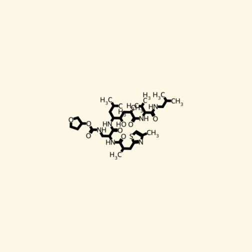 Cc1csc(CC(C)C(=O)NC(CNC(=O)OC2CCOC2)C(=O)NC(CC(C)C)C(O)CC(C)C(=O)NC(C(=O)NCC(C)C)C(C)C)n1